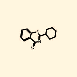 O=c1nc(C2CCCCC2)sc2ccccc12